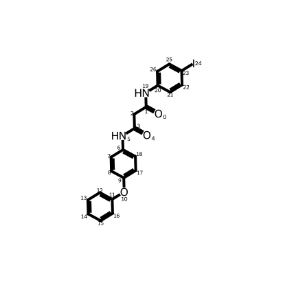 O=C(CC(=O)Nc1ccc(Oc2ccccc2)cc1)Nc1ccc(I)cc1